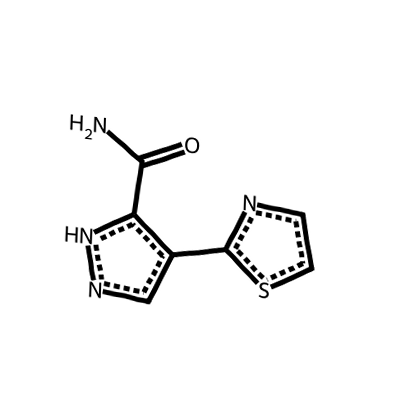 NC(=O)c1[nH]ncc1-c1nccs1